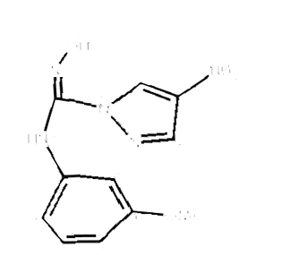 COc1cccc(NC(=NO)n2cc(N)cn2)c1